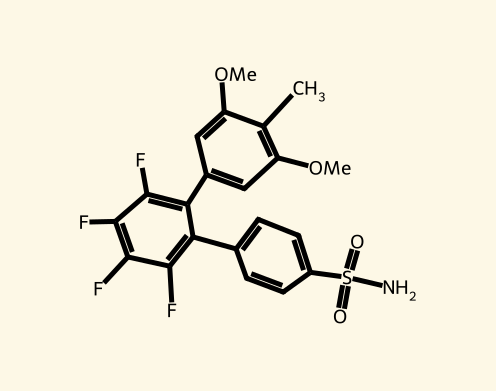 COc1cc(-c2c(F)c(F)c(F)c(F)c2-c2ccc(S(N)(=O)=O)cc2)cc(OC)c1C